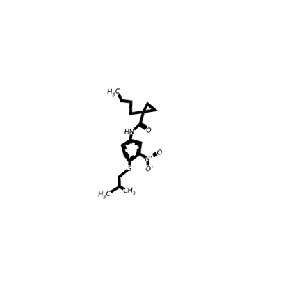 CCCCC1(C(=O)Nc2ccc(SCC(C)C)c([N+](=O)[O-])c2)CC1